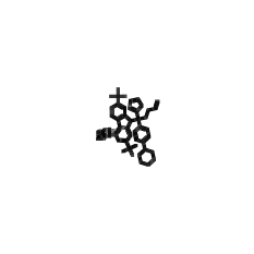 C=CCCC(C1=CC=CC1)(c1ccc(C2CCCCC2)cc1)C1c2cc(C(C)(C)C)ccc2-c2ccc(C(C)(C)C)cc21.[Cl-].[Cl-].[Zr+2]